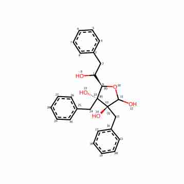 OC(Cc1ccccc1)[C@H]1OC(O)[C@](O)(Cc2ccccc2)[C@@]1(O)Cc1ccccc1